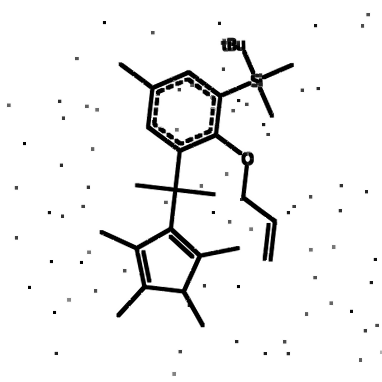 C=CCOc1c(C(C)(C)C2=C(C)C(C)C(C)=C2C)cc(C)cc1[Si](C)(C)C(C)(C)C